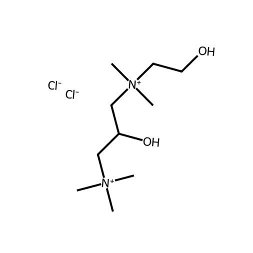 C[N+](C)(C)CC(O)C[N+](C)(C)CCO.[Cl-].[Cl-]